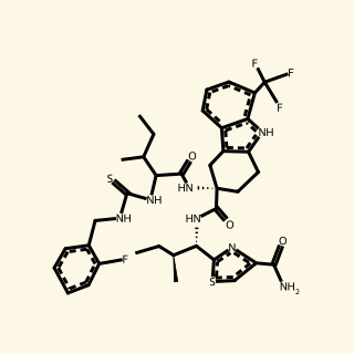 CCC(C)C(NC(=S)NCc1ccccc1F)C(=O)N[C@@]1(C(=O)N[C@H](c2nc(C(N)=O)cs2)[C@@H](C)CC)CCc2[nH]c3c(C(F)(F)F)cccc3c2C1